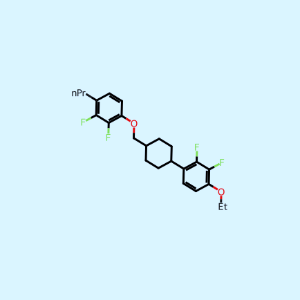 CCCc1ccc(OCC2CCC(c3ccc(OCC)c(F)c3F)CC2)c(F)c1F